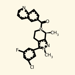 C[C@H]1c2nn(C)c(-c3cc(F)cc(Cl)c3)c2CCN1C(=O)c1ccc2ncccc2c1